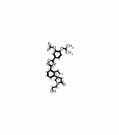 CC(C)Oc1ccc(-c2nc(-c3cccc4c3CC[C@@]43CC(=O)N(CCO)C3)no2)cc1OC(F)F